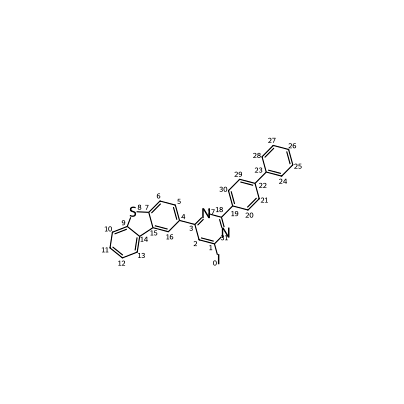 Ic1cc(-c2ccc3sc4ccccc4c3c2)nc(-c2ccc(-c3ccccc3)cc2)n1